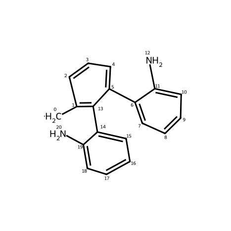 [CH2]c1cccc(-c2ccccc2N)c1-c1ccccc1N